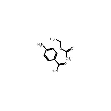 CCOC(C)=O.NC(=O)c1ccc(N)cc1